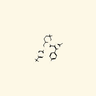 Cc1nc(C(=O)N2CC(F)(F)C[C@@H](C)C2CNc2cnc(C(F)(F)F)cn2)c(-c2ccc(F)cc2)s1